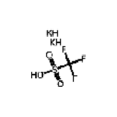 O=S(=O)(O)C(F)(F)F.[KH].[KH]